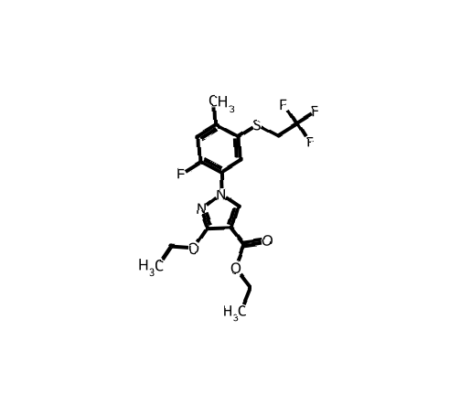 CCOC(=O)c1cn(-c2cc(SCC(F)(F)F)c(C)cc2F)nc1OCC